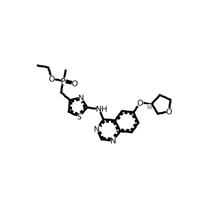 CCOP(C)(=O)Cc1csc(Nc2ncnc3ccc(O[C@H]4CCOC4)cc23)n1